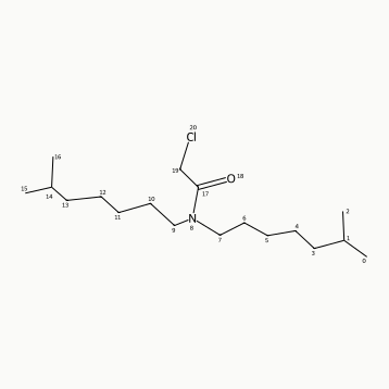 CC(C)CCCCCN(CCCCCC(C)C)C(=O)CCl